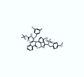 COc1ccc(CN(c2nn(C)c3c(-n4c([C@H](Cc5cc(F)cc(F)c5)NC(=O)OC(C)(C)C)nc5ncccc5c4=O)ccc(Cl)c23)S(C)(=O)=O)cc1